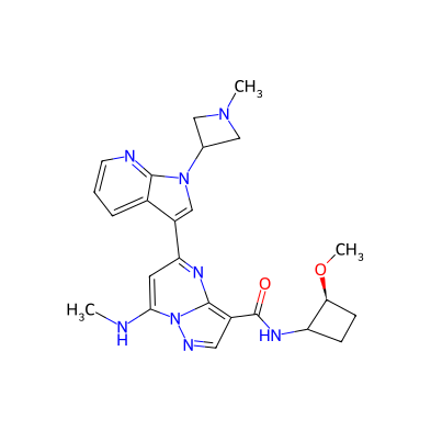 CNc1cc(-c2cn(C3CN(C)C3)c3ncccc23)nc2c(C(=O)NC3CC[C@@H]3OC)cnn12